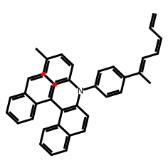 C=C/C=C\C=C(/C)c1ccc(N(c2ccc(C)cc2)c2ccc3ccccc3c2-c2cccc3ccccc23)cc1